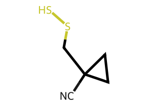 N#CC1(CSS)CC1